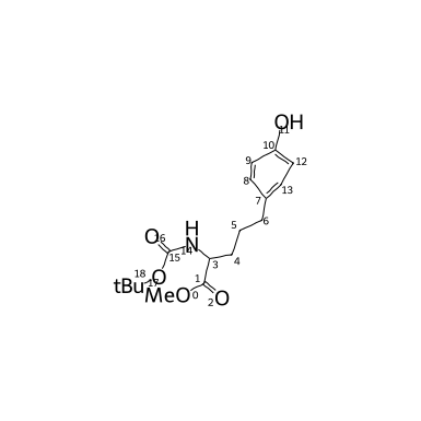 COC(=O)C(CCCc1ccc(O)cc1)NC(=O)OC(C)(C)C